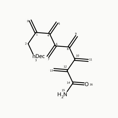 C=C(CCCCCCCCCCC)C(=C)C(=C)C(=C)C(=C)C(=C)C(N)=O